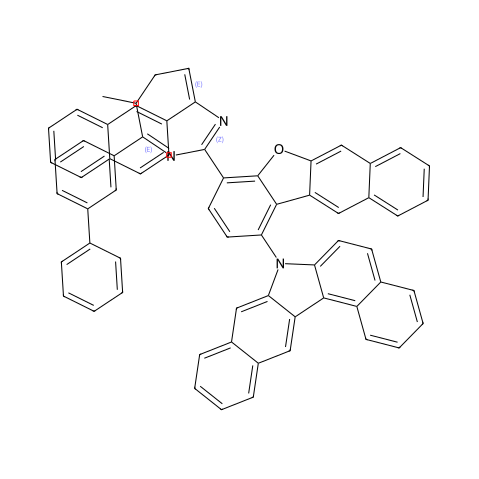 CC1C/C=C(c2ccc3ccccc3c2)/N=C(c2ccc(-n3c4cc5ccccc5cc4c4c5ccccc5ccc43)c3c2oc2cc4ccccc4cc23)\N=C/1c1cccc(-c2ccccc2)c1